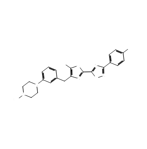 Cc1ccc(-c2noc(-c3nc(Cc4cccc(N5CCN(C)CC5)c4)c(C)o3)n2)cc1